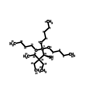 CCCCO[Si](OCCCC)(OCCCC)[C@@H](S)[Si](CC)(CC)CC